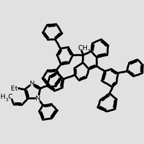 C/C=C\c1c(CC)nc(-c2ccc(C3=CC4C(=C(c5cc(-c6ccccc6)cc(-c6ccccc6)c5)c5ccccc5C4(C)c4cc(-c5ccccc5)cc(-c5ccccc5)c4)C=C3)cc2)n1-c1ccccc1